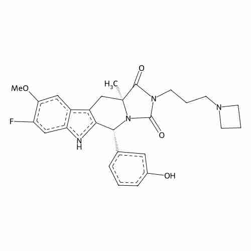 COc1cc2c3c([nH]c2cc1F)[C@@H](c1cccc(O)c1)N1C(=O)N(CCCN2CCC2)C(=O)[C@]1(C)C3